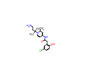 CC1C=C(NC(=O)Cc2cc(Cl)ccc2O)C=CN1C(C)(C)CCN